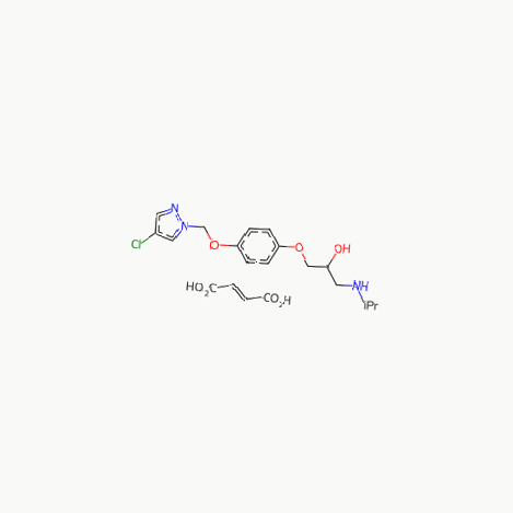 CC(C)NCC(O)COc1ccc(OCn2cc(Cl)cn2)cc1.O=C(O)C=CC(=O)O